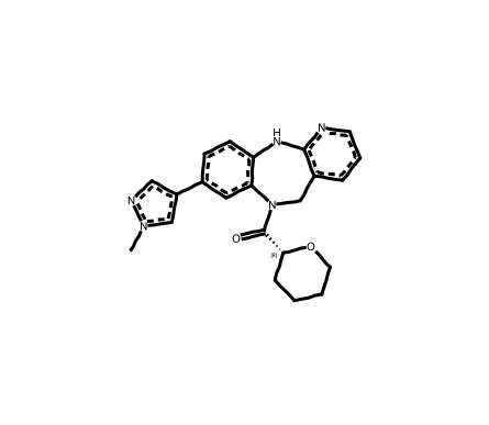 Cn1cc(-c2ccc3c(c2)N(C(=O)[C@H]2CCCCO2)Cc2cccnc2N3)cn1